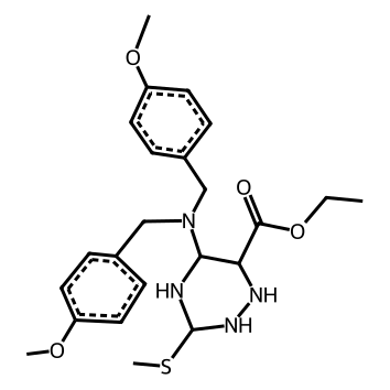 CCOC(=O)C1NNC(SC)NC1N(Cc1ccc(OC)cc1)Cc1ccc(OC)cc1